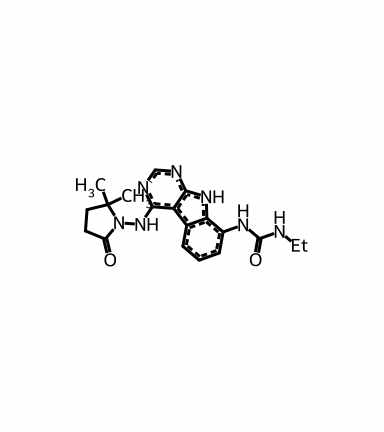 CCNC(=O)Nc1cccc2c1[nH]c1ncnc(NN3C(=O)CCC3(C)C)c12